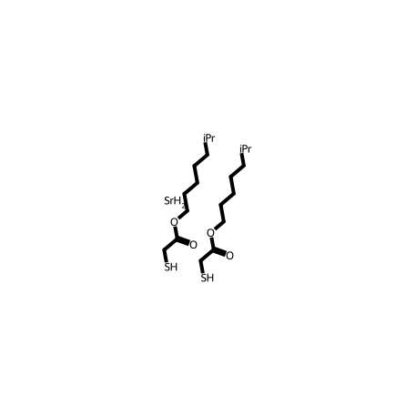 CC(C)CCCCCOC(=O)CS.CC(C)CCCCCOC(=O)CS.[SrH2]